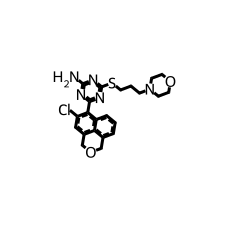 Nc1nc(SCCCN2CCOCC2)nc(-c2c(Cl)cc3c4c(cccc24)COC3)n1